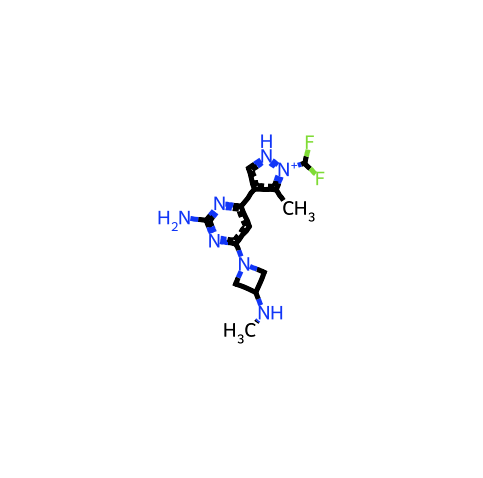 CNC1CN(c2cc(-c3c[nH][n+](C(F)F)c3C)nc(N)n2)C1